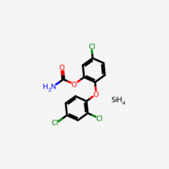 NC(=O)Oc1cc(Cl)ccc1Oc1ccc(Cl)cc1Cl.[SiH4]